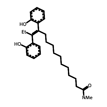 CC/C(=C(/CCCCCCCCCCC(=O)NC)c1ccccc1O)c1ccccc1O